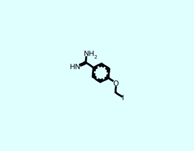 N=C(N)c1ccc(OCI)cc1